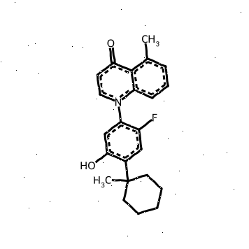 Cc1cccc2c1c(=O)ccn2-c1cc(O)c(C2(C)CCCCC2)cc1F